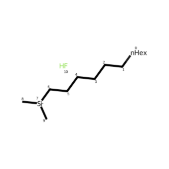 CCCCCCCCCCCC[Si](C)C.F